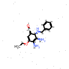 CCOC1=CC(=C=O)C(NCc2ccccc2)C(N)=C1N